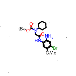 COc1cc(NC(=O)CN(C(=O)OC(C)(C)C)C2CCCCC2)c(N)cc1Br